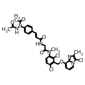 CC(=O)NN(C(C)=O)c1ccc(C=CC(=O)NCC(=O)N(C)c2ccc(Cl)c(COc3cccn4c(Cl)c(C)nc34)c2Cl)cc1